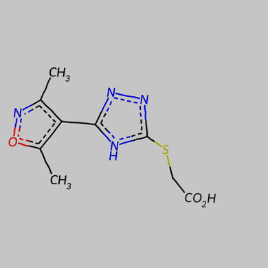 Cc1noc(C)c1-c1nnc(SCC(=O)O)[nH]1